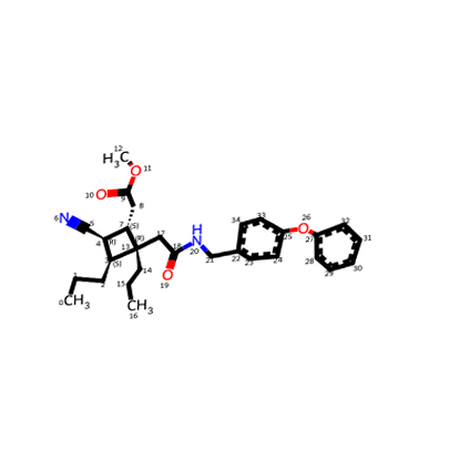 CCC[C@H]1[C@@H](C#N)[C@H](CC(=O)OC)[C@]1(CCC)CC(=O)NCc1ccc(Oc2ccccc2)cc1